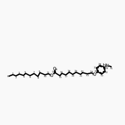 CCCCCCCCCCCCOC(=O)CCCCCCCCCCOc1ccc(NC)cc1